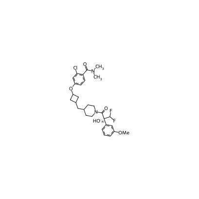 COc1cccc([C@@](O)(C(=O)N2CCC(CC3CC(Oc4ccc(C(=O)N(C)C)c(Cl)c4)C3)CC2)C(F)F)c1